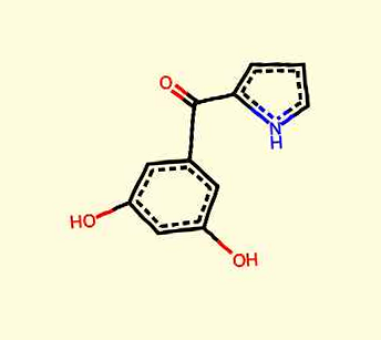 O=C(c1cc(O)cc(O)c1)c1ccc[nH]1